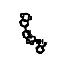 O=C(Cn1nc(-c2ccc3c(c2)OCCO3)ccc1=O)Nc1ccccc1F